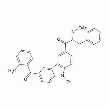 CCn1c2ccc(C(=O)/C(Cc3ccccc3)=N/OC(C)=O)cc2c2cc(C(=O)c3ccccc3C)ccc21